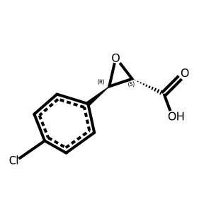 O=C(O)[C@H]1O[C@@H]1c1ccc(Cl)cc1